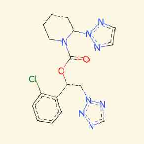 O=C(OC(Cn1ncnn1)c1ccccc1Cl)N1CCCCC1n1nccn1